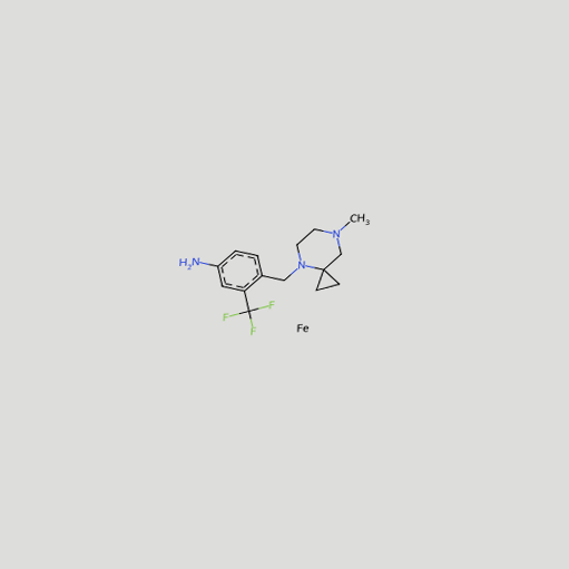 CN1CCN(Cc2ccc(N)cc2C(F)(F)F)C2(CC2)C1.[Fe]